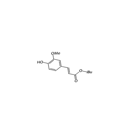 CCC(C)OC(=O)C=Cc1ccc(O)c(OC)c1